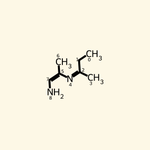 CC/C(C)=N\C(C)=C/N